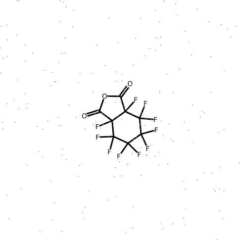 O=C1OC(=O)C2(F)C(F)(F)C(F)(F)C(F)(F)C(F)(F)C12F